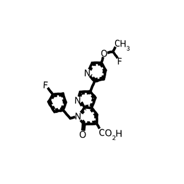 CC(F)Oc1ccc(-c2cnc3c(c2)cc(C(=O)O)c(=O)n3Cc2ccc(F)cc2)nc1